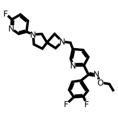 CCON=C(c1ccc(F)c(F)c1)c1ccc(CN2CC3(CCN(c4ccc(F)nc4)C3)C2)cn1